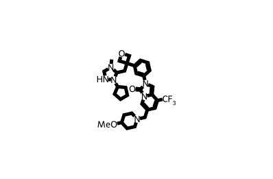 COC1CCN(Cc2cc(C(F)(F)F)c3cn(-c4cccc(C5(CC6N(C)CNN6C6CCCC6)COC5)c4)c(=O)n3c2)CC1